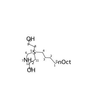 CCCCCCCCCCCCS(CN)(CCO)CCO